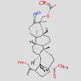 C=C(CO)[C@@H]1CC[C@]2(C(=O)O)CC[C@]3(C)[C@H](CC[C@@H]4[C@@]5(C)CCC(=N)C(C)(COC(C)=O)[C@@H]5CC[C@]43C)[C@@H]12